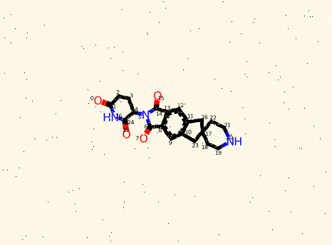 O=C1CCC(N2C(=O)c3cc4c(cc3C2=O)CC2(CCNCC2)C4)C(=O)N1